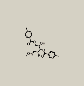 CO/N=C/[C@@H](F)[C@H](OC(=O)c1ccc(C)cc1)[C@H](O)COC(=O)c1ccc(C)cc1